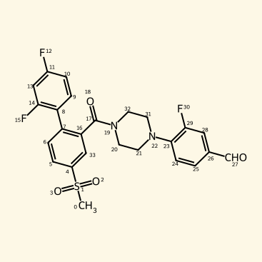 CS(=O)(=O)c1ccc(-c2ccc(F)cc2F)c(C(=O)N2CCN(c3ccc(C=O)cc3F)CC2)c1